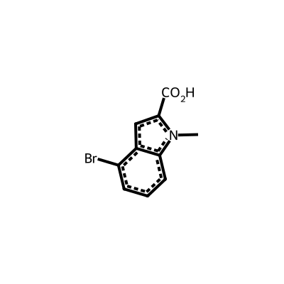 Cn1c(C(=O)O)cc2c(Br)cccc21